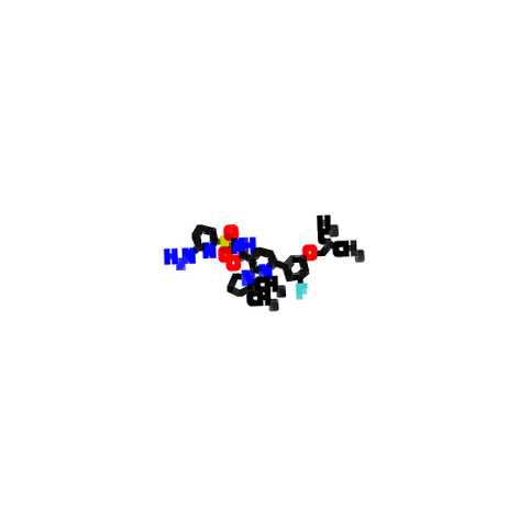 CC(C)COc1cc(F)cc(-c2ccc(C(=O)NS(=O)(=O)c3cccc(N)n3)c(N3CCCC3(C)C)n2)c1